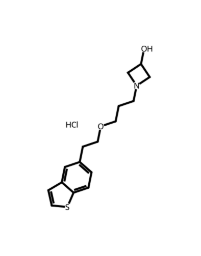 Cl.OC1CN(CCCOCCc2ccc3sccc3c2)C1